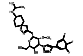 CO[C@@H]1[C@@H](n2cc(-c3cc(F)c(F)c(F)c3)nn2)[C@@H](O)[C@@H](CO)O[C@@H]1CC1=NOC2(CCC(NC(C)C)CC2)C1